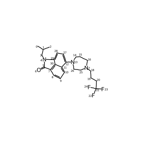 CC(C)CN1C(=O)c2cccc3c(N4CCCN(CCCC(F)(F)F)CC4)ccc1c23